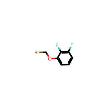 Fc1cccc(OCBr)c1F